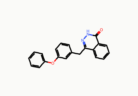 O=c1[nH]nc(Cc2cccc(Oc3ccccc3)c2)c2ccccc12